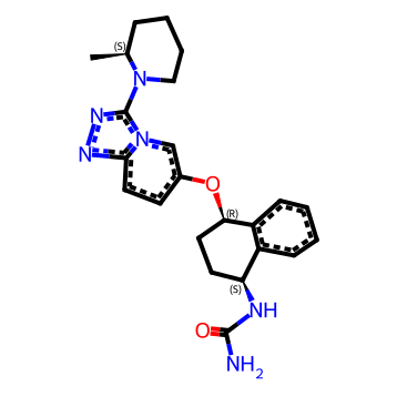 C[C@H]1CCCCN1c1nnc2ccc(O[C@@H]3CC[C@H](NC(N)=O)c4ccccc43)cn12